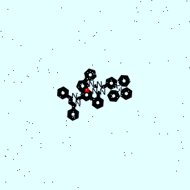 c1ccc(-c2cc(-c3ccccc3)nc(-c3cccc(-c4ccccc4-c4nc(-c5cccc([Si](c6ccccc6)(c6ccccc6)c6ccccc6)c5)nc(-n5c6ccccc6c6ccccc65)n4)c3)n2)cc1